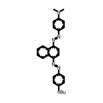 CCCCc1ccc(N=Nc2ccc(N=Nc3ccc(N(C)C)cc3)c3ccccc23)cc1